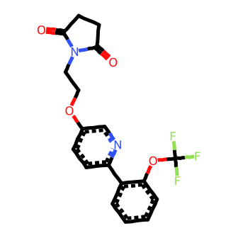 O=C1CCC(=O)N1CCOc1ccc(-c2ccccc2OC(F)(F)F)nc1